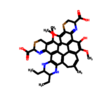 CCC1Nc2c(c3c4c(c(OC)c5c6c(OC)c7c(c8c(O)c(OC)c9c(c(c2CC(C)=C9)c35)c86)=NC(C(=O)O)CS7)CSC(C(=O)O)N=4)NC1CC